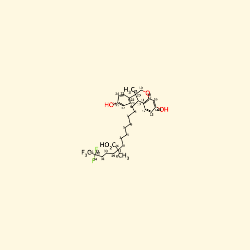 CC(CCCCCCCCC1c2ccc(O)cc2OCC1(C)c1ccc(O)cc1)(CCCC(F)(F)C(F)(F)F)C(=O)O